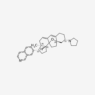 C[C@]12CC=C3C=C4CC[C@H](N5CCCC5)C[C@]45CCC3(O5)[C@@H]1CC[C@@H]2c1ccc2ccncc2c1